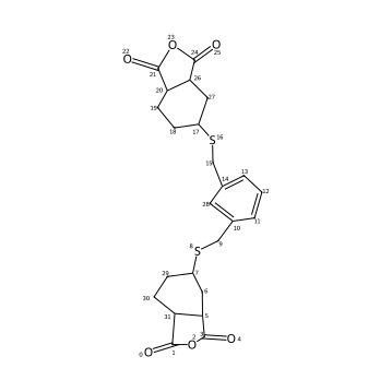 O=C1OC(=O)C2CC(SCc3cccc(CSC4CCC5C(=O)OC(=O)C5C4)c3)CCC12